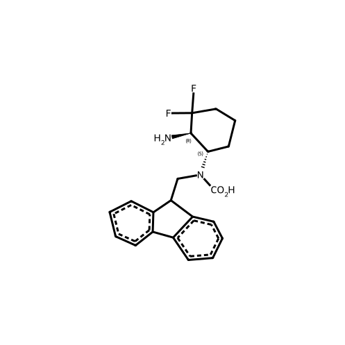 N[C@@H]1[C@@H](N(CC2c3ccccc3-c3ccccc32)C(=O)O)CCCC1(F)F